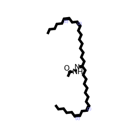 CCCCC/C=C\C/C=C\CCCCCCCCC(CCCCCCCC/C=C\C/C=C\CCCCC)=NNC(C)=O